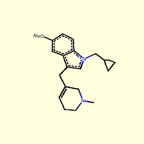 COc1ccc2c(c1)c(CC1=CCCN(C)C1)cn2CC1CC1